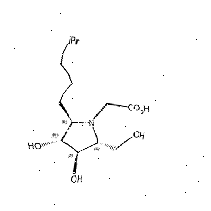 CC(C)CCC[C@@H]1[C@@H](O)[C@H](O)[C@@H](CO)N1CC(=O)O